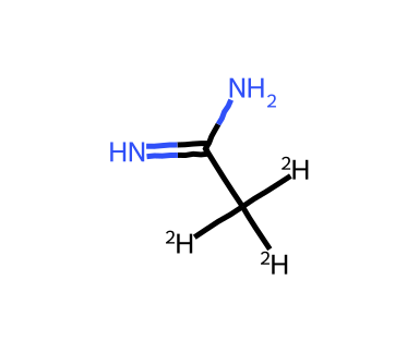 [2H]C([2H])([2H])C(=N)N